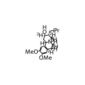 [2H]C1([2H])[C@H](CC(C)C)[C@]([2H])(O)C[C@H]2c3cc(OC)c(OC)cc3C([2H])([2H])C([2H])([2H])N21